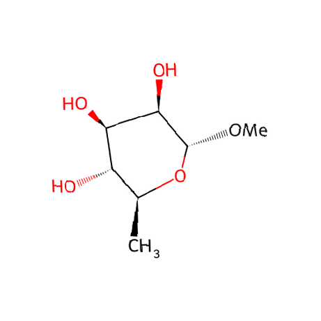 CO[C@@H]1O[C@@H](C)[C@H](O)[C@@H](O)[C@H]1O